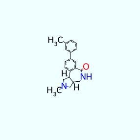 Cc1cccc(-c2ccc3c(c2)C(=O)NC[C@@H]2CN(C)C[C@@H]32)c1